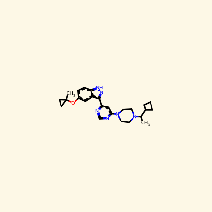 CC(C1CCC1)N1CCN(c2cc(-c3n[nH]c4ccc(OC5(C)CC5)cc34)ncn2)CC1